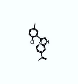 C=C(C)c1ccn2c(-c3cc(C)ccc3Cl)cnc2c1